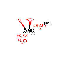 O.O.O.O.O=[N+]([O-])[O-].O=[N+]([O-])[O-].[Pb+2]